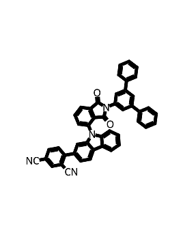 N#Cc1ccc(-c2ccc3c4ccccc4n(-c4cccc5c4C(=O)N(c4cc(-c6ccccc6)cc(-c6ccccc6)c4)C5=O)c3c2)c(C#N)c1